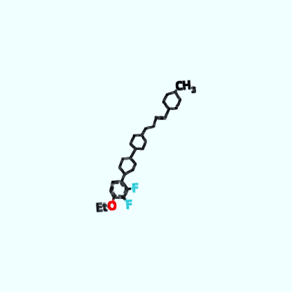 CCOc1ccc(C2CCC(C3CCC(CC/C=C/C4CCC(C)CC4)CC3)CC2)c(F)c1F